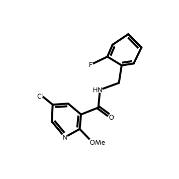 COc1ncc(Cl)cc1C(=O)NCc1ccccc1F